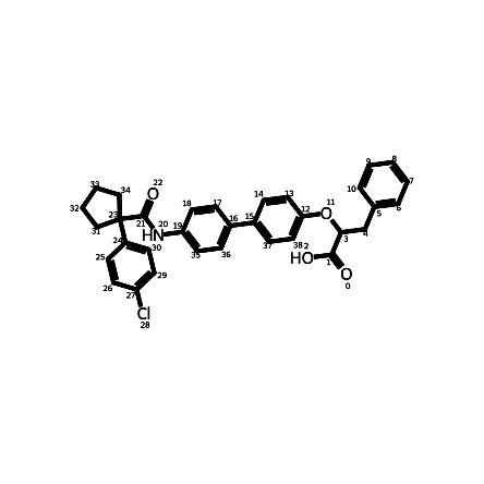 O=C(O)C(Cc1ccccc1)Oc1ccc(-c2ccc(NC(=O)C3(c4ccc(Cl)cc4)CCCC3)cc2)cc1